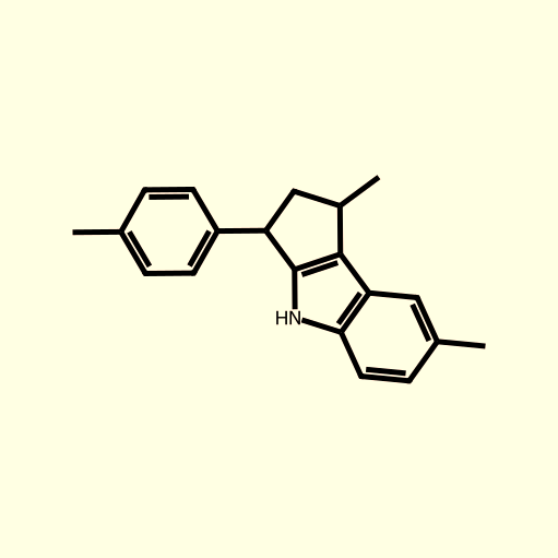 Cc1ccc(C2CC(C)c3c2[nH]c2ccc(C)cc32)cc1